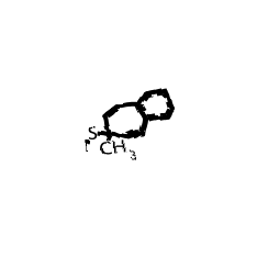 CC1(SI)C=Cc2ccccc2C=C1